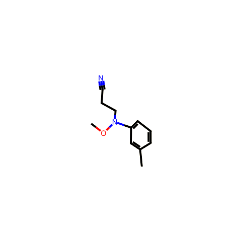 CON(CCC#N)c1cccc(C)c1